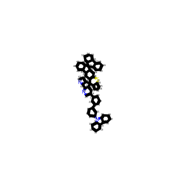 c1cc(-c2cccc(-n3c4ccccc4c4ccccc43)c2)cc(-c2cnc3c(c2)C2(c4ccccc4Sc4cc5c(cc42)-c2ccccc2C52c4ccccc4-c4ccccc42)c2cccnc2-3)c1